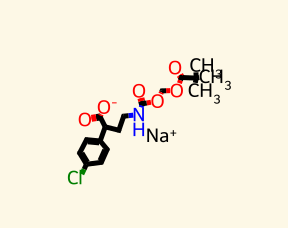 CC(C)(C)C(=O)OCOC(=O)NCCC(C(=O)[O-])c1ccc(Cl)cc1.[Na+]